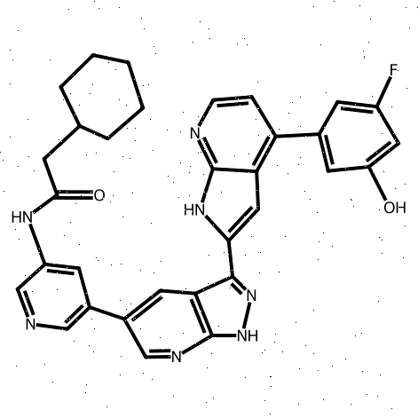 O=C(CC1CCCCC1)Nc1cncc(-c2cnc3[nH]nc(-c4cc5c(-c6cc(O)cc(F)c6)ccnc5[nH]4)c3c2)c1